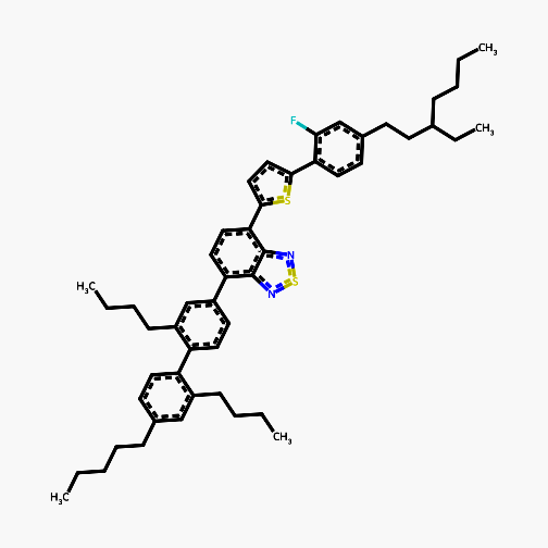 CCCCCc1ccc(-c2ccc(-c3ccc(-c4ccc(-c5ccc(CCC(CC)CCCC)cc5F)s4)c4nsnc34)cc2CCCC)c(CCCC)c1